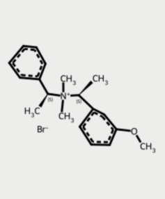 COc1cccc([C@H](C)[N+](C)(C)[C@@H](C)c2ccccc2)c1.[Br-]